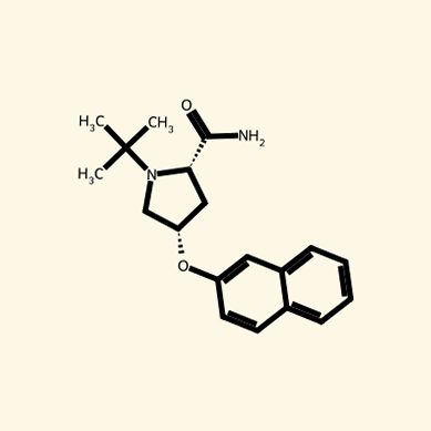 CC(C)(C)N1C[C@@H](Oc2ccc3ccccc3c2)C[C@H]1C(N)=O